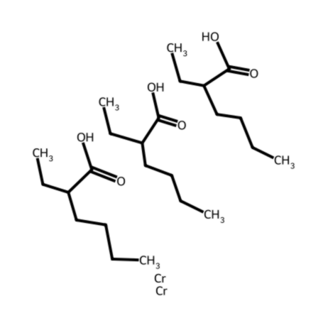 CCCCC(CC)C(=O)O.CCCCC(CC)C(=O)O.CCCCC(CC)C(=O)O.[Cr].[Cr]